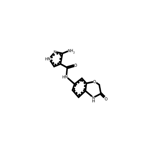 Nc1n[nH]cc1C(=O)Nc1ccc2c(c1)OCC(=O)N2